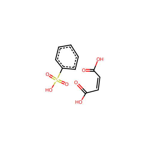 O=C(O)/C=C\C(=O)O.O=S(=O)(O)c1ccccc1